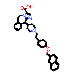 O=C(O)c1cnc2n1CCc1ccccc1C2=C1CCN(CCc2ccc(OCc3ccc4ccccc4c3)cc2)CC1